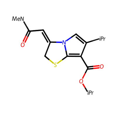 CNC(=O)/C=C1\CSc2c(C(=O)OC(C)C)c(C(C)C)cn21